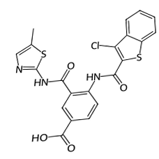 Cc1cnc(NC(=O)c2cc(C(=O)O)ccc2NC(=O)c2sc3ccccc3c2Cl)s1